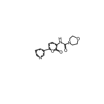 O=C(Nc1ccc(-c2cccnc2)oc1=O)N1CCOCC1